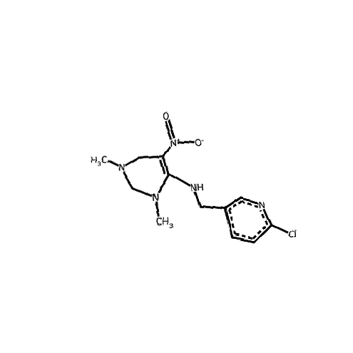 CN1CC([N+](=O)[O-])=C(NCc2ccc(Cl)nc2)N(C)C1